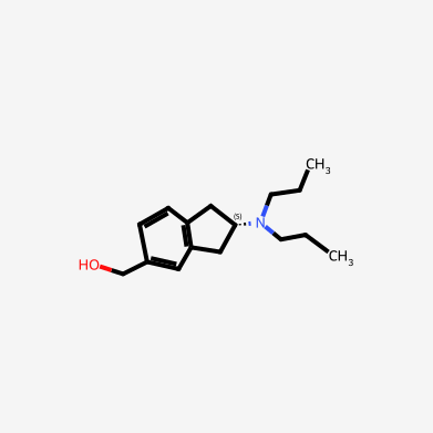 CCCN(CCC)[C@H]1Cc2ccc(CO)cc2C1